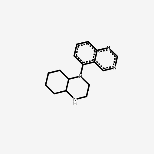 c1cc(N2CCNC3CCCCC32)c2cncnc2c1